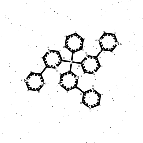 c1ccc([Si](c2cncc(-c3cnccn3)n2)(c2cncc(-c3cnccn3)n2)c2cncc(-c3cnccn3)n2)cc1